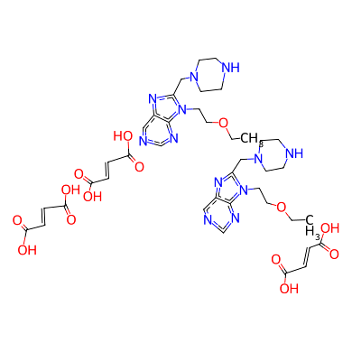 CCOCCn1c(CN2CCNCC2)nc2cncnc21.CCOCCn1c(CN2CCNCC2)nc2cncnc21.O=C(O)C=CC(=O)O.O=C(O)C=CC(=O)O.O=C(O)C=CC(=O)O